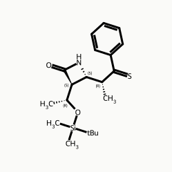 C[C@@H](O[Si](C)(C)C(C)(C)C)[C@H]1C(=O)N[C@@H]1[C@@H](C)C(=S)c1ccccc1